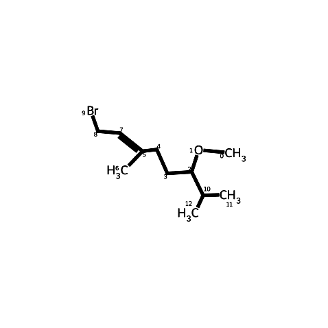 COC(CC/C(C)=C/CBr)C(C)C